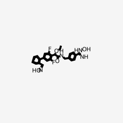 CCOC(C(=O)NCc1ccc(C(=N)NO)cc1)c1c(F)cc(-c2ccccc2/C=N\O)cc1F